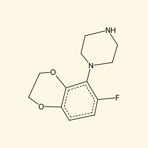 Fc1ccc2c(c1N1CCNCC1)OCCO2